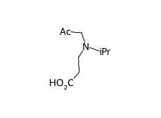 CC(=O)CN(CCC(=O)O)C(C)C